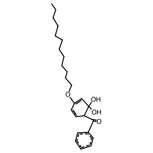 CCCCCCCCCCCCOC1=CC(O)(O)C(C(=O)c2ccccc2)C=C1